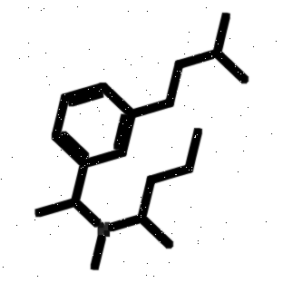 CCCC(C)N(C)C(C)c1cccc(CCC(C)C)c1